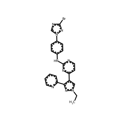 CCn1cc(-c2ccnc(Nc3ccc(-n4cnc(Br)n4)cc3)n2)c(-c2ccccn2)n1